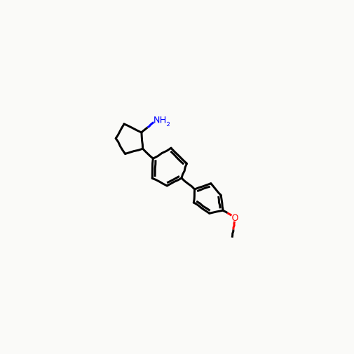 COc1ccc(-c2ccc(C3CCCC3N)cc2)cc1